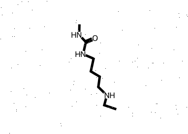 CCNCCCCNC(=O)NC